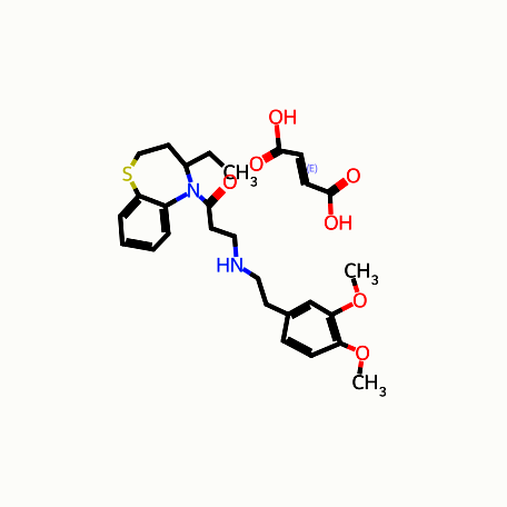 CCC1CCSc2ccccc2N1C(=O)CCNCCc1ccc(OC)c(OC)c1.O=C(O)/C=C/C(=O)O